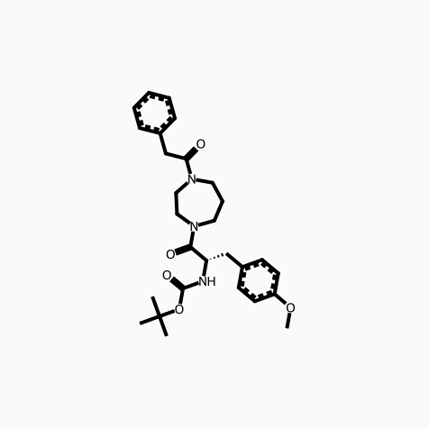 COc1ccc(C[C@H](NC(=O)OC(C)(C)C)C(=O)N2CCCN(C(=O)Cc3ccccc3)CC2)cc1